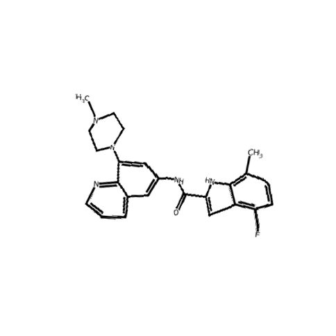 Cc1ccc(F)c2cc(C(=O)Nc3cc(N4CCN(C)CC4)c4ncccc4c3)[nH]c12